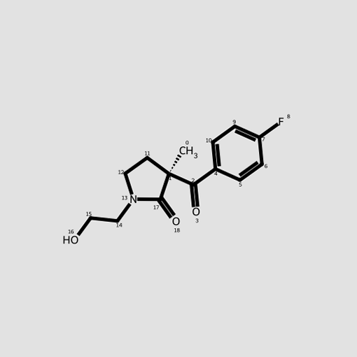 C[C@@]1(C(=O)c2ccc(F)cc2)CCN(CCO)C1=O